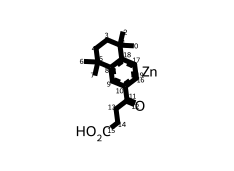 CC1(C)CCC(C)(C)c2cc(C(=O)CCC(=O)O)ccc21.[Zn]